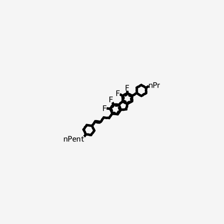 CCCCCC1CCC(/C=C/CCc2cc3c(c(F)c2F)-c2c(cc(C4CCC(CCC)CC4)c(F)c2F)C3)CC1